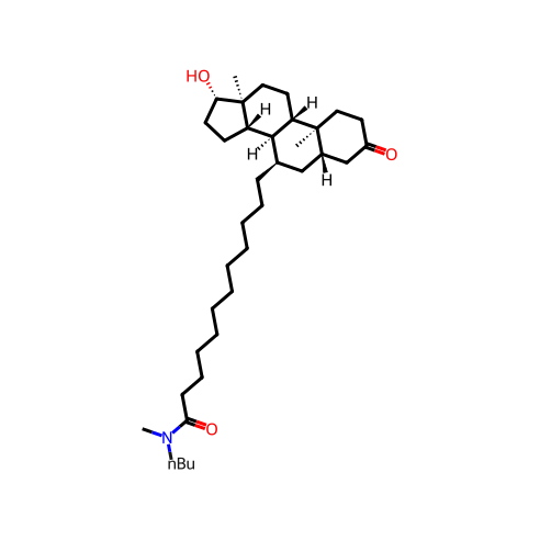 CCCCN(C)C(=O)CCCCCCCCCCC[C@@H]1C[C@H]2CC(=O)CC[C@]2(C)[C@H]2CC[C@]3(C)[C@@H](O)CC[C@H]3[C@H]12